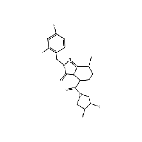 CC1CCC(C(=O)N2CC(F)C(F)C2)n2c1nn(Cc1ccc(F)cc1F)c2=O